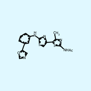 CC(=O)Nc1nc(C)c(-c2csc(Nc3cccc(-c4cnco4)c3)n2)s1